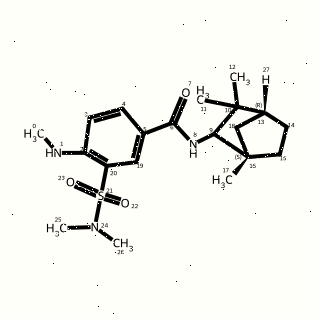 CNc1ccc(C(=O)NC2C(C)(C)[C@@H]3CC[C@@]2(C)C3)cc1S(=O)(=O)N(C)C